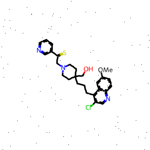 COc1ccc2ncc(Cl)c(CCCC3(CO)CCN(CC(=S)c4cccnc4)CC3)c2c1